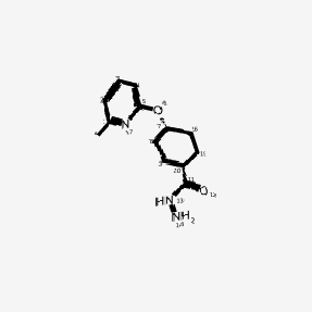 Cc1cccc(O[C@H]2CC[C@H](C(=O)NN)CC2)n1